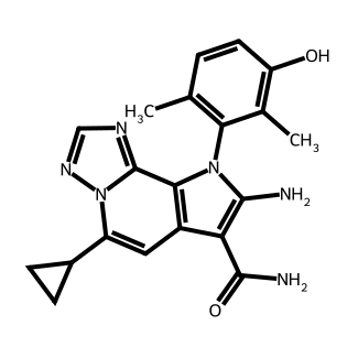 Cc1ccc(O)c(C)c1-n1c(N)c(C(N)=O)c2cc(C3CC3)n3ncnc3c21